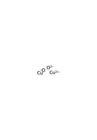 [Cu+2].[Cu].[O-2].[O]